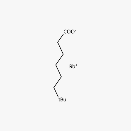 CC(C)(C)CCCCCC(=O)[O-].[Rb+]